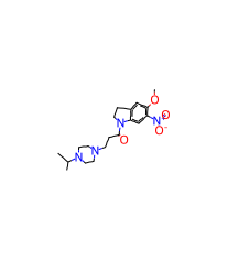 COc1cc2c(cc1[N+](=O)[O-])N(C(=O)CCN1CCN(C(C)C)CC1)CC2